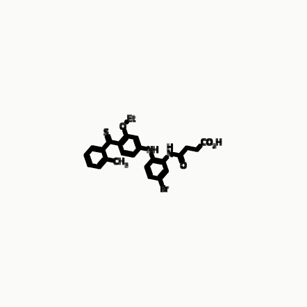 CCOc1cc(Nc2ccc(Br)cc2NC(=O)CCC(=O)O)ccc1C(=S)c1ccccc1C